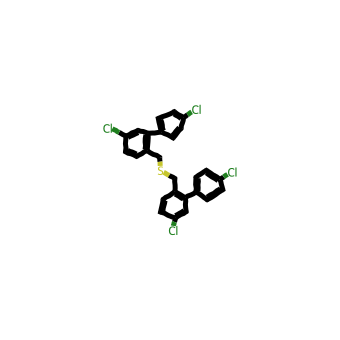 Clc1ccc(-c2cc(Cl)ccc2CSCc2ccc(Cl)cc2-c2ccc(Cl)cc2)cc1